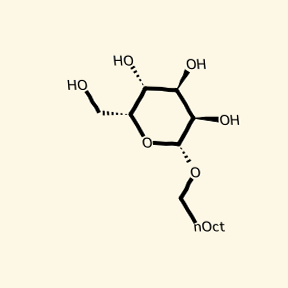 CCCCCCCCCO[C@@H]1O[C@H](CO)[C@H](O)[C@@H](O)[C@H]1O